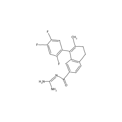 CC1=C(c2cc(F)c(F)cc2F)c2cc(C(=O)N=C(N)N)ccc2CC1